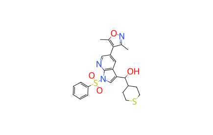 Cc1noc(C)c1-c1cnc2c(c1)c(C(O)C1CCSCC1)cn2S(=O)(=O)c1ccccc1